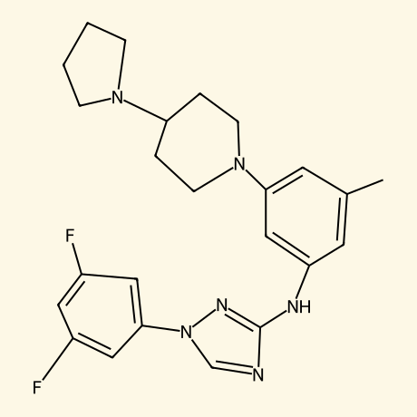 Cc1cc(Nc2ncn(-c3cc(F)cc(F)c3)n2)cc(N2CCC(N3CCCC3)CC2)c1